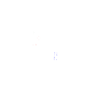 CC(C)=NN=CCC(C)CC(=O)OF